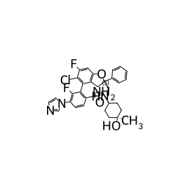 C[C@]1(O)CC[C@@H](NC[C@@]2(c3ccccc3)Cc3c(cc(F)c(Cl)c3-c3c(C(N)=O)ccc(-n4ccnc4)c3F)O2)CC1